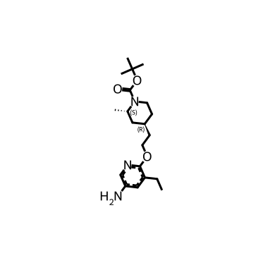 CCc1cc(N)cnc1OCC[C@@H]1CCN(C(=O)OC(C)(C)C)[C@@H](C)C1